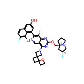 CCc1c(F)ccc2cc(O)cc(-c3ncc4c(N5CC6(CCC67CCO7)C5)nc(OC[C@@]56CCCN5C[C@H](F)C6)nc4c3F)c12